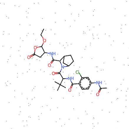 CCOC1OC(=O)CC1NC(=O)C1C2CCC(C2)N1C(=O)C(NC(=O)c1ccc(NC(C)=O)cc1Cl)C(C)(C)C